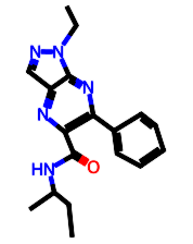 CCC(C)NC(=O)c1nc2cnn(CC)c2nc1-c1ccccc1